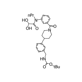 CCCN(C(=O)C(O)O)c1cccc(C(=O)N2CCC(c3cccc(CNC(=O)OC(C)(C)C)c3)CC2)c1